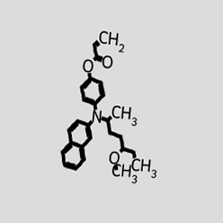 C=CC(=O)Oc1ccc(N(c2ccc3ccccc3c2)C(C)CCC(CC)OC)cc1